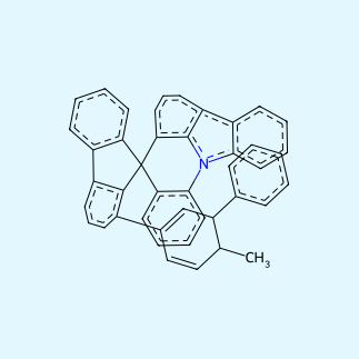 CC1C=CC(c2cccc3c2C2(c4ccccc4-3)c3ccccc3-n3c4ccccc4c4cccc2c43)=CC1c1ccccc1